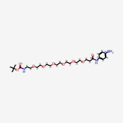 CC(C)(C)OC(=O)NCCOCCOCCOCCOCCOCCOCCC(=O)Nc1ccc(N)cc1